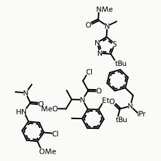 CC(C)N(Cc1ccccc1)C(=O)C(C)(C)C.CCc1cccc(C)c1N(C(=O)CCl)C(C)COC.CNC(=O)N(C)c1nnc(C(C)(C)C)s1.COc1ccc(NC(=O)N(C)C)cc1Cl